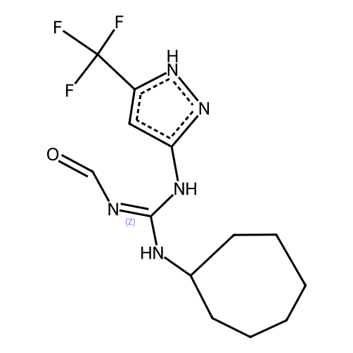 O=C/N=C(\Nc1cc(C(F)(F)F)[nH]n1)NC1CCCCCC1